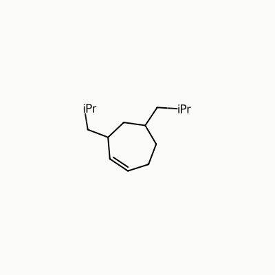 CC(C)CC1C=CCCC(CC(C)C)C1